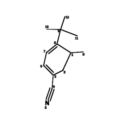 CC1CC(C#N)=CC=C1C(C)(C)C